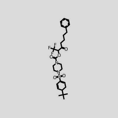 CC(C)(C)C1C=CC(S(=O)(=O)N2CCN(C(=O)OC(C(=O)CCCCc3ccccc3)C(F)(F)F)CC2)=CC1